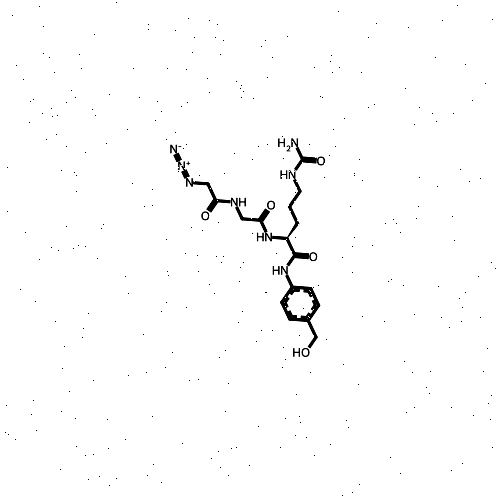 [N-]=[N+]=NCC(=O)NCC(=O)N[C@@H](CCCNC(N)=O)C(=O)Nc1ccc(CO)cc1